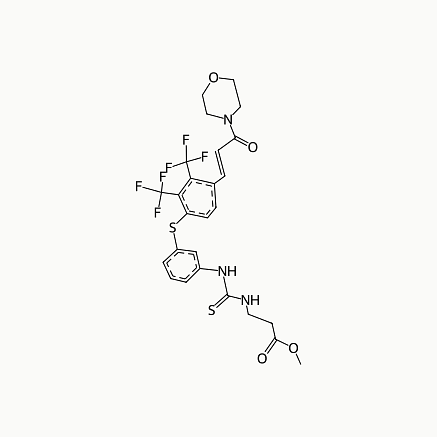 COC(=O)CCNC(=S)Nc1cccc(Sc2ccc(/C=C/C(=O)N3CCOCC3)c(C(F)(F)F)c2C(F)(F)F)c1